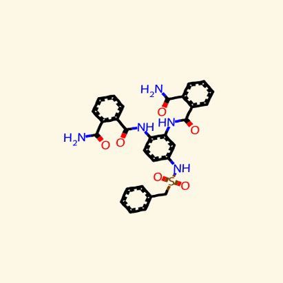 NC(=O)c1ccccc1C(=O)Nc1ccc(NS(=O)(=O)Cc2ccccc2)cc1NC(=O)c1ccccc1C(N)=O